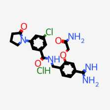 Cl.N=C(N)c1ccc(CNC(=O)c2cc(Cl)cc(N3CCCC3=O)c2)c(OCC(N)=O)c1